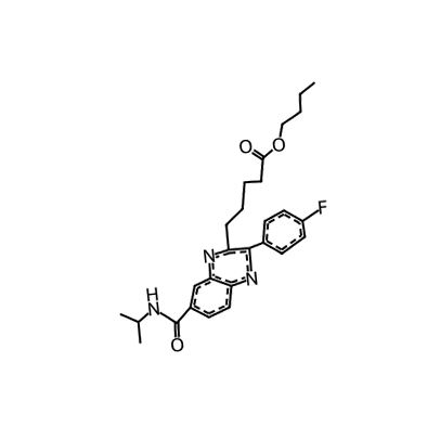 CCCCOC(=O)CCCCc1nc2cc(C(=O)NC(C)C)ccc2nc1-c1ccc(F)cc1